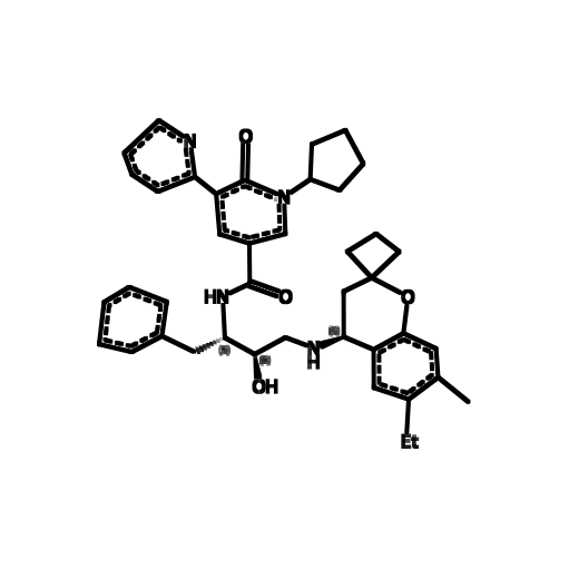 CCc1cc2c(cc1C)OC1(CCC1)C[C@@H]2NC[C@@H](O)[C@H](Cc1ccccc1)NC(=O)c1cc(-c2ccccn2)c(=O)n(C2CCCC2)c1